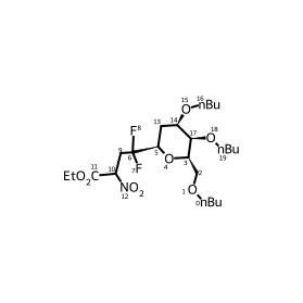 CCCCOC[C@H]1O[C@@H](C(F)(F)CC(C(=O)OCC)[N+](=O)[O-])C[C@@H](OCCCC)[C@H]1OCCCC